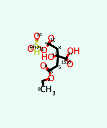 CCOC(=O)CC(O)(CC(=O)O[SH](=O)=O)C(=O)O